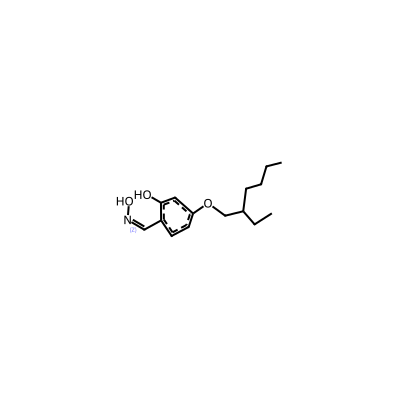 CCCCC(CC)COc1ccc(/C=N\O)c(O)c1